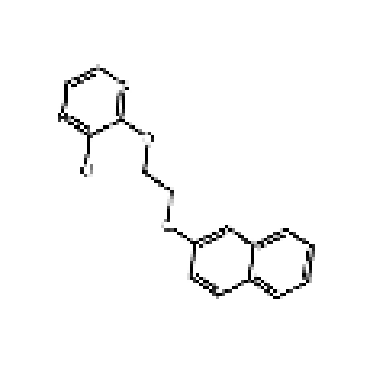 Clc1nccnc1OCCOc1ccc2ccccc2c1